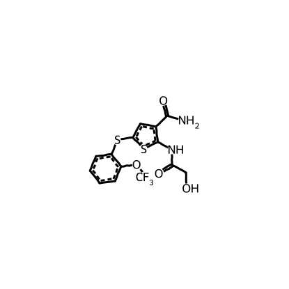 NC(=O)c1cc(Sc2ccccc2OC(F)(F)F)sc1NC(=O)CO